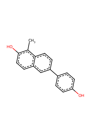 Cc1c(O)ccc2cc(-c3ccc(O)cc3)ccc12